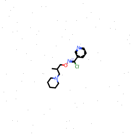 CC(CO/N=C(\Cl)c1cccnc1)CN1CCCCC1